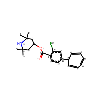 CC1(C)CC(OC(=O)c2ccc(C3C=CC=CC=C3)cc2F)CC(C)(C)N1